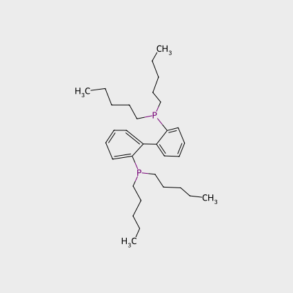 CCCCCP(CCCCC)c1ccccc1-c1ccccc1P(CCCCC)CCCCC